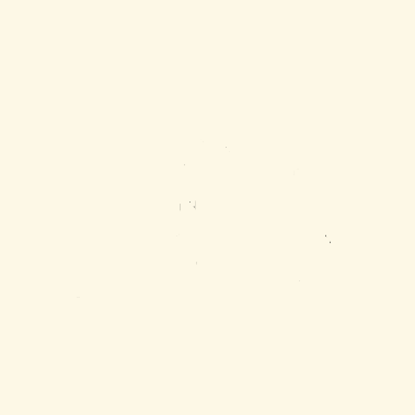 CC(=O)Oc1c(NC(=O)CCCBr)oc(-c2nccs2)c1O